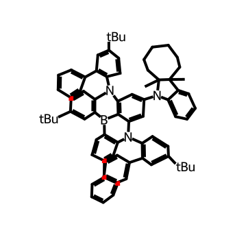 CC(C)(C)c1ccc2c(c1)B1c3ccc(-c4ccccc4)cc3N(c3ccc(C(C)(C)C)cc3-c3ccccc3)c3cc(N4c5ccccc5C5(C)CCCCCCC45C)cc(c31)N2c1ccc(C(C)(C)C)cc1-c1ccccc1